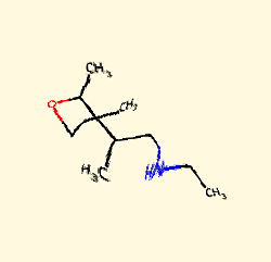 CCNCC(C)C1(C)COC1C